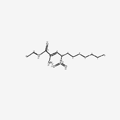 CCCCCCCC(C=C(N)C(=O)OCC)[SH](=O)=O